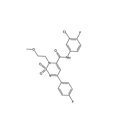 COCCN1C(C(=O)Nc2ccc(F)c(Cl)c2)=CC(c2ccc(F)cc2)=NS1(=O)=O